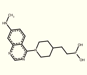 CNc1ccc2c(N3CCC(CCP(O)O)CC3)ncnc2c1